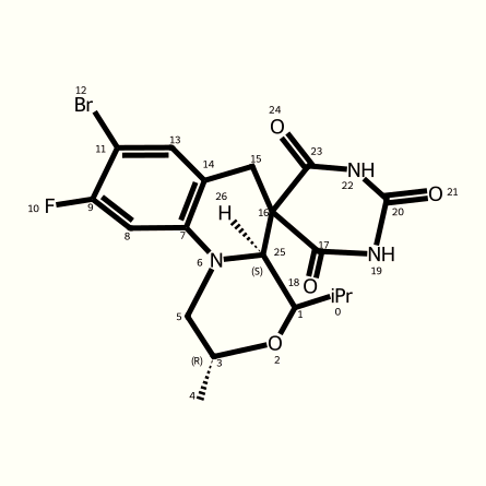 CC(C)C1O[C@H](C)CN2c3cc(F)c(Br)cc3CC3(C(=O)NC(=O)NC3=O)[C@@H]12